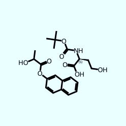 CC(C)(C)OC(=O)N[C@@H](CCO)C(=O)O.CC(O)C(=O)Oc1ccc2ccccc2c1